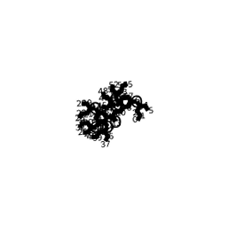 CCCC(CC)OC1=CC(C=CC(=O)c2cc(OC(CC)CCC)cc(OC(CC)CCC)c2OC(CC)CCC)C(OC(CC)CCC)(OC(CC)CCC)C=C1